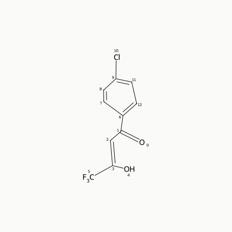 O=C(C=C(O)C(F)(F)F)c1ccc(Cl)cc1